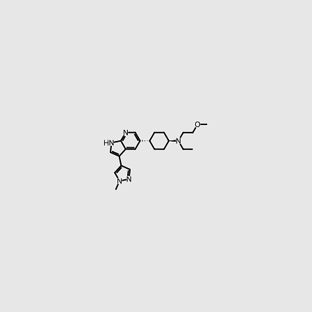 CCN(CCOC)[C@H]1CC[C@H](c2cnc3[nH]cc(-c4cnn(C)c4)c3c2)CC1